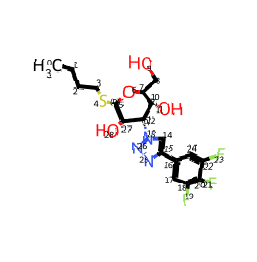 CCCCS[C@H]1OC(CO)[C@H](O)[C@H](n2cc(-c3cc(F)c(F)c(F)c3)nn2)C1O